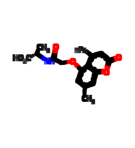 CCCc1cc(=O)oc2cc(C)cc(OCC(=O)N[C@@H](C)C(=O)O)c12